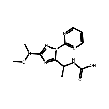 CON(C)c1nc([C@H](C)NC(=O)O)n(-c2ncccn2)n1